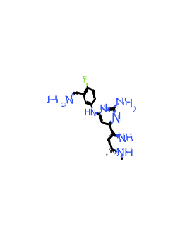 CN[C@H](C)CC(=N)c1cc(Nc2ccc(F)c(CN)c2)nc(N)n1